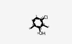 Cc1ccc(Cl)c(C)c1O